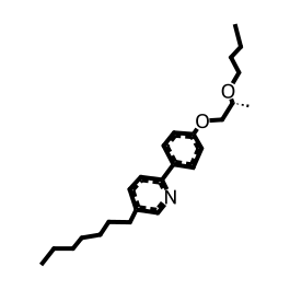 CCCCCCCc1ccc(-c2ccc(OC[C@@H](C)OCCCC)cc2)nc1